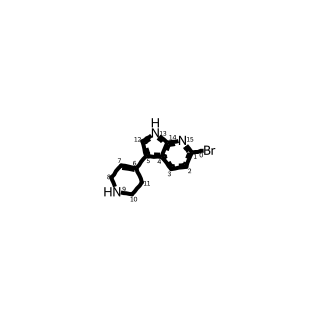 Brc1ccc2c(C3=CCNCC3)c[nH]c2n1